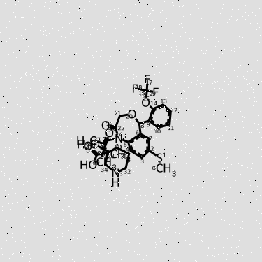 CSc1ccc2c(c1)C(c1ccccc1OC(F)(F)F)OCC(=O)[N+]2(CC(C)(C)C)[C@@H]1CCNC[C@@]1(C(C)=O)C(=O)O